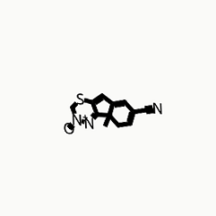 CC12CC=C(C#N)C=C1C=C1SC[N+](=O)N=C12